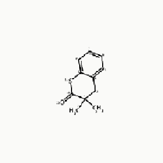 CC1(C)Cc2ccccc2SC1=O